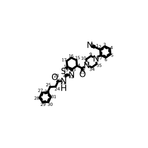 N#Cc1ccccc1N1CCN(C(=O)C2CCCc3sc(NC(=O)CCc4ccccc4)nc32)CC1